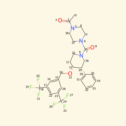 CC(=O)N1CCN(C(=O)N2CC[C@@H](OCc3cc(C(F)(F)F)cc(C(F)(F)F)c3)[C@@H](c3ccccc3)C2)CC1